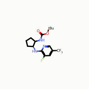 CC(C)(C)OC(=O)NC1CCC[C@@H]1Nc1ncc(C(F)(F)F)cc1F